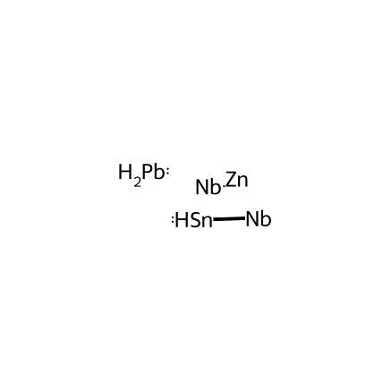 [Nb].[Nb][SnH].[PbH2].[Zn]